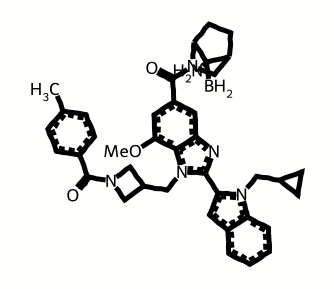 BC1(N)C2CCC1N(C(=O)c1cc(OC)c3c(c1)nc(-c1cc4ccccc4n1CC1CC1)n3CC1CN(C(=O)c3ccc(C)cc3)C1)C2